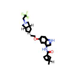 C[C@H]1CC2(C(=O)Nc3c[nH]c4ccc(OCC[C@@H]5C[C@@H]6CN(CC(F)(F)F)C[C@@H]6C5)cc34)CC1C2